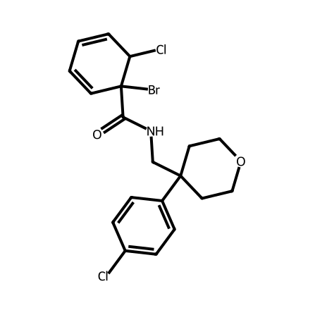 O=C(NCC1(c2ccc(Cl)cc2)CCOCC1)C1(Br)C=CC=CC1Cl